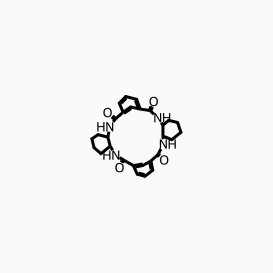 O=C1NC2CCCCC2NC(=O)c2cccc(c2)C(=O)NC2CCCCC2NC(=O)c2cccc1c2